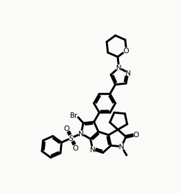 CN1C(=O)C2(CCCC2)c2c1cnc1c2c(-c2ccc(-c3cnn(C4CCCCO4)c3)cc2)c(Br)n1S(=O)(=O)c1ccccc1